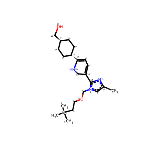 C[Si](C)(C)CCOCn1cc(C(F)(F)F)nc1C1=CC=C([C@H]2CC[C@H](CO)CC2)NC1